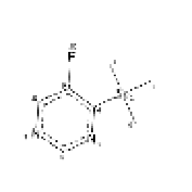 [CH3][Sn]([CH3])([CH3])[c]1ncncc1F